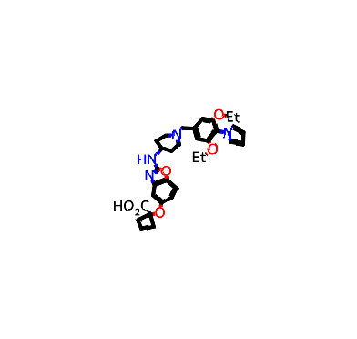 CCOc1cc(CN2CCC(Nc3nc4cc(OC5(C(=O)O)CCC5)ccc4o3)CC2)cc(OCC)c1-n1cccc1